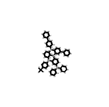 CC(C)(C)c1ccc(N2c3cc(N(C4=CCCC=C4)c4ccccc4)ccc3B3c4cc(-c5ccccc5)ccc4N(c4ccc(-c5ccccc5)cc4)c4cccc2c43)cc1